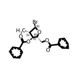 C[C@H]1[C@H](OC(=O)c2ccccc2)[C@@H](COC(=O)c2ccccc2)O[C@@H]1Br